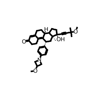 COC1CN(c2ccc([C@H]3C[C@@]4(C)C(CC[C@@]4(O)C#CC(C)(C)OC)[C@@H]4CCC5=CC(=O)CCC5=C43)cc2)C1